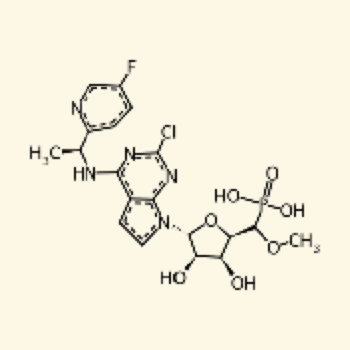 COC([C@@H]1O[C@@H](n2ccc3c(N[C@@H](C)c4ccc(F)cn4)nc(Cl)nc32)[C@H](O)[C@@H]1O)P(=O)(O)O